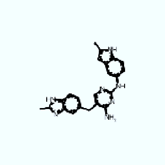 Cc1cc2cc(Nc3ncc(Cc4ccc5[nH]c(C)nc5c4)c(N)n3)ccc2[nH]1